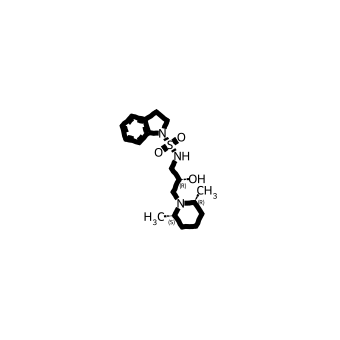 C[C@@H]1CCC[C@H](C)N1C[C@@H](O)CNS(=O)(=O)N1CCc2ccccc21